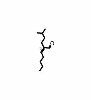 CCCC/C=C(\C=O)CCC(C)C